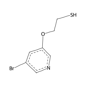 SCCOc1cncc(Br)c1